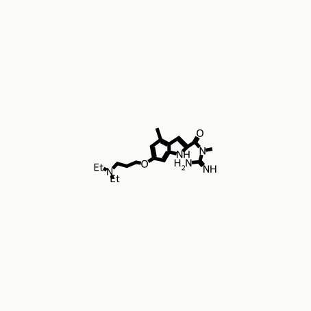 CCN(CC)CCCOc1cc(C)c2cc(C(=O)N(C)C(=N)N)[nH]c2c1